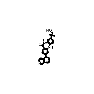 CC(C)(CO)c1ccc2c(c1)NC(=O)c1ccc(-c3cccc4cnccc34)cc1N2